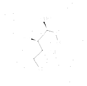 O=C[C@@H](OO)[C@H](O)[C@H](O)CO